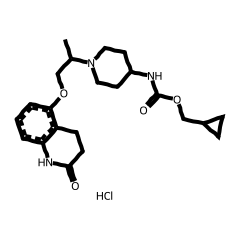 CC(COc1cccc2c1CCC(=O)N2)N1CCC(NC(=O)OCC2CC2)CC1.Cl